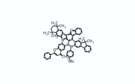 C=C1C=C(c2ccccc2)Oc2cc3c(cc21)B1c2c(c4c5ccccc5oc4c4c5cc6c(cc5n-3c24)C(C)(C)CCC6(C)C)-c2cc3c(cc2N1c1ccc(C(C)(C)C)cc1)-c1ccccc1C3(C)C